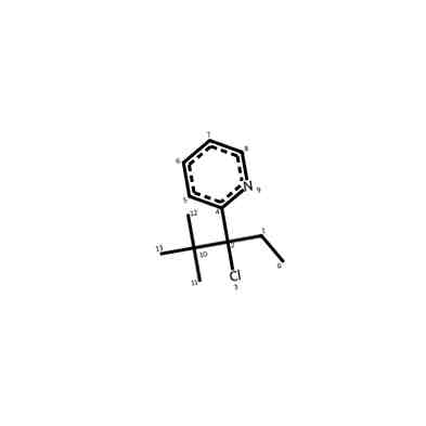 CCC(Cl)(c1ccccn1)C(C)(C)C